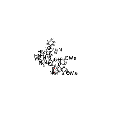 COc1ccc(C(OC(CCC#N)[C@H]2O[C@@H](n3cnc4c(=O)[nH]c(NC(=O)COc5ccccc5)nc43)[C@H](OCOCCC#N)[C@@H]2O)(c2ccccc2)c2ccc(OC)cc2)cc1